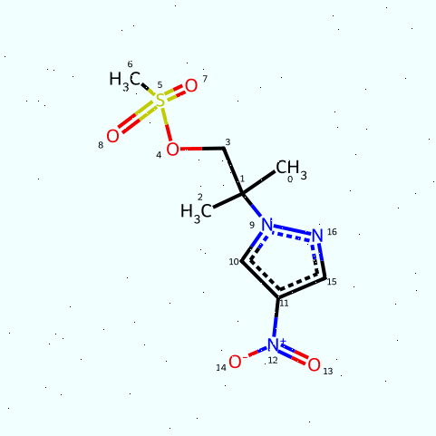 CC(C)(COS(C)(=O)=O)n1cc([N+](=O)[O-])cn1